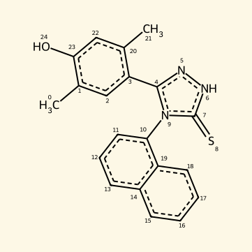 Cc1cc(-c2n[nH]c(=S)n2-c2cccc3ccccc23)c(C)cc1O